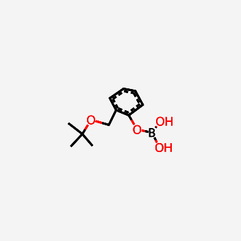 CC(C)(C)OCc1ccccc1OB(O)O